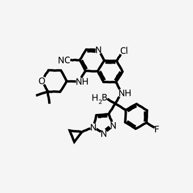 BC(Nc1cc(Cl)c2ncc(C#N)c(NC3CCOC(C)(C)C3)c2c1)(c1ccc(F)cc1)c1cn(C2CC2)nn1